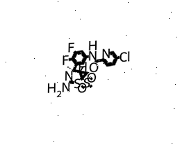 C[C@@]1(c2cc(NC(=O)c3ccc(Cl)cn3)cc(F)c2F)N=C(N)S[C@@]2(S(C)(=O)=O)C[C@@H]12